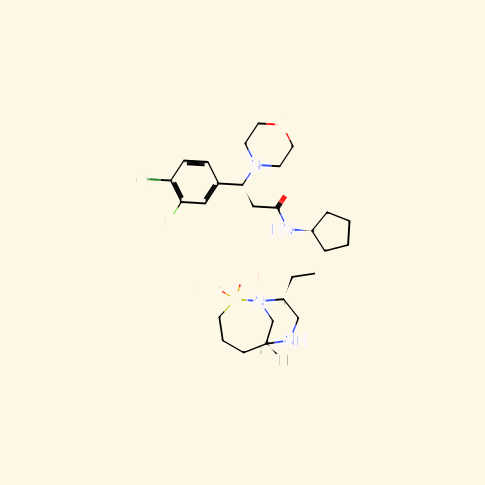 O=C(C[C@@H](c1ccc(Cl)c(F)c1)N1CCOCC1)N[C@H]1CCC[C@@H]1CC[C@H]1CN[C@@H]2CCCS(O)(O)N1C2